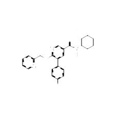 O=C(N[C@@H]1CCCC[C@H]1O)c1cnc(OCc2ccccn2)c(-c2ccc(F)cc2)c1